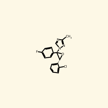 Cc1ncn([C@@]2(c3ccc(F)cc3)O[C@@H]2c2ccccc2Cl)n1